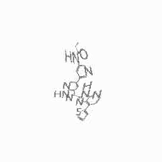 CCC(=O)Nc1cncc(-c2cnc3[nH]nc(-c4nc5c(-c6cccs6)ccnc5[nH]4)c3c2)c1